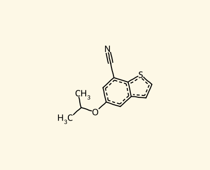 CC(C)Oc1cc(C#N)c2sccc2c1